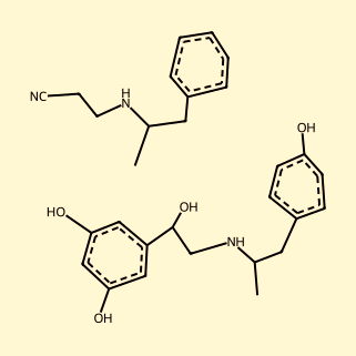 CC(Cc1ccc(O)cc1)NCC(O)c1cc(O)cc(O)c1.CC(Cc1ccccc1)NCCC#N